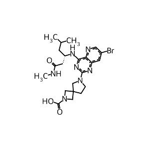 CNC(=O)C[C@H](CC(C)C)Nc1nc(N2CCC3(CN(C(=O)O)C3)C2)nc2cc(Br)cnc12